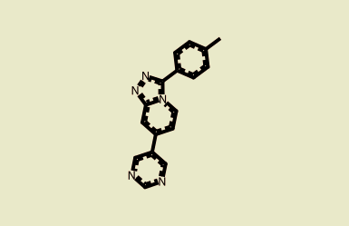 Cc1ccc(-c2nnc3cc(-c4cncnc4)ccn23)cc1